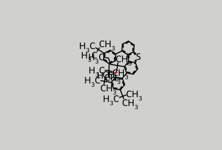 CCCC(C)(CC)c1c(-c2cc(C(C)(C)C)cc(C(C)(C)C)c2)ccc2sc3cccc(-c4cc(C(C)(C)C)cc(C(C)(C)C)c4)c3c12